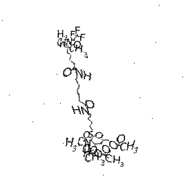 CCCC(C)(CCCCC(=O)NCCCCCC(=O)NCCCCCS[C@@H]1OC(COC(C)=O)[C@H](OC(C)=O)C(OC(C)=O)C1NC(C)=O)NC(=O)C(F)(F)F